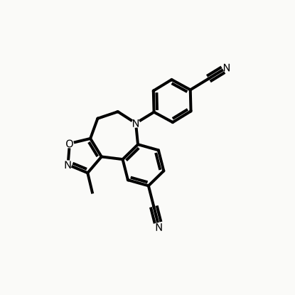 Cc1noc2c1-c1cc(C#N)ccc1N(c1ccc(C#N)cc1)CC2